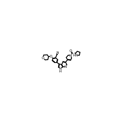 N#Cc1cc(-c2c[nH]c3ncc(C4=CCN(C(=O)[C@@H]5CCCN5)CC4)cc23)ccc1OC1CCOCC1